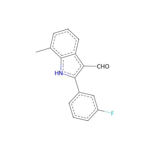 Cc1cccc2c(C=O)c(-c3cccc(F)c3)[nH]c12